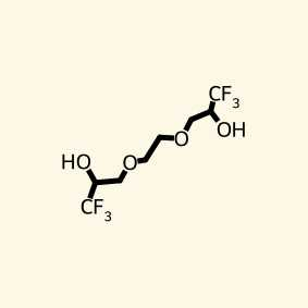 OC(COCCOCC(O)C(F)(F)F)C(F)(F)F